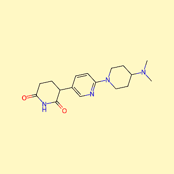 CN(C)C1CCN(c2ccc(C3CCC(=O)NC3=O)cn2)CC1